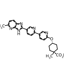 Cc1ccc2nc(-c3ccc(-c4ccc(O[C@H]5CC[C@](C)(C(=O)O)CC5)nc4)nc3)[nH]c2n1